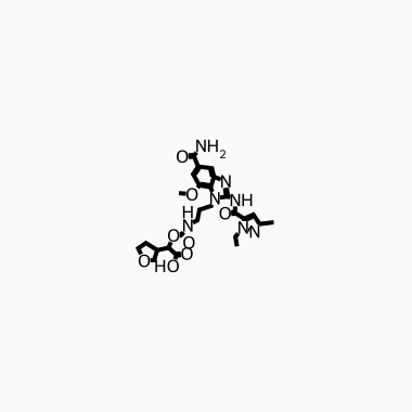 CCn1nc(C)cc1C(=O)Nc1nc2cc(C(N)=O)cc(OC)c2n1CCCNC(=O)OC(C(=O)O)C1CCOC1